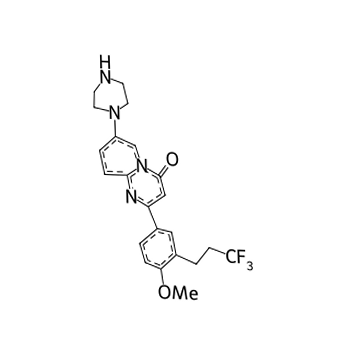 COc1ccc(-c2cc(=O)n3cc(N4CCNCC4)ccc3n2)cc1CCC(F)(F)F